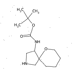 CC(C)(C)OC(=O)NC1CNCC12CCCCO2